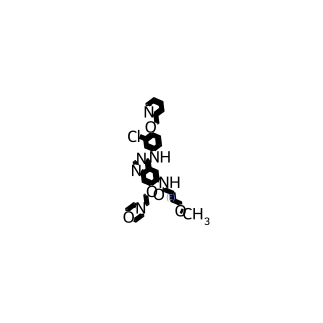 COC/C=C/C(=O)Nc1cc2c(Nc3ccc(OCc4ccccn4)c(Cl)c3)ncnc2cc1OCCN1CCOCC1